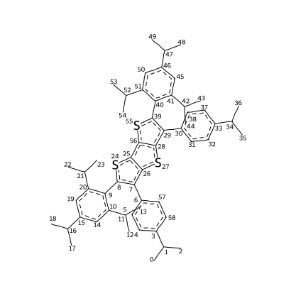 CC(C)c1ccc(-c2c(-c3c(C(C)C)cc(C(C)C)cc3C(C)C)sc3c2sc2c(-c4ccc(C(C)C)cc4)c(-c4c(C(C)C)cc(C(C)C)cc4C(C)C)sc23)cc1